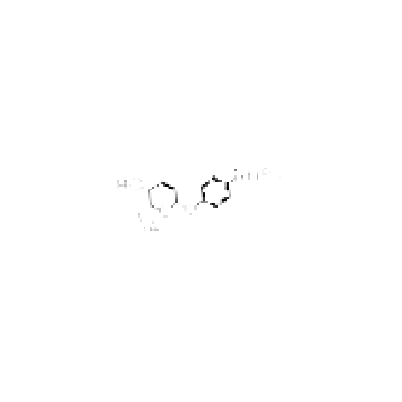 CC(=O)Nc1ccc(O[C@@H]2C=C[C@H](O)[C@@H](COC(C)=O)O2)cc1